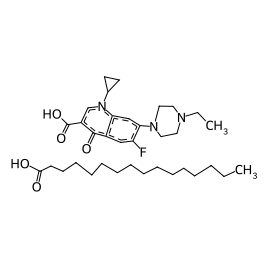 CCCCCCCCCCCCCCCC(=O)O.CCN1CCN(c2cc3c(cc2F)c(=O)c(C(=O)O)cn3C2CC2)CC1